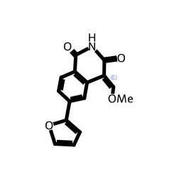 CO/C=C1/C(=O)NC(=O)c2ccc(-c3ccco3)cc21